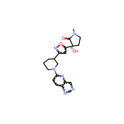 CN1CC[C@@](O)(c2cc(C3CCCN(c4ccc5ncncc5n4)C3)no2)C1=O